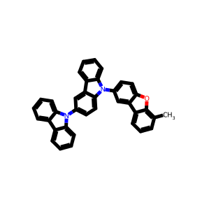 Cc1cccc2c1oc1ccc(-n3c4ccccc4c4cc(-n5c6ccccc6c6ccccc65)ccc43)cc12